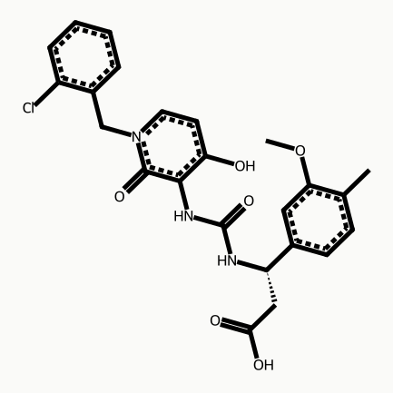 COc1cc([C@H](CC(=O)O)NC(=O)Nc2c(O)ccn(Cc3ccccc3Cl)c2=O)ccc1C